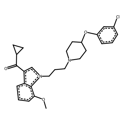 COc1cccc2c(C(=O)C3CC3)cn(CCCN3CCC(Oc4cccc(Cl)c4)CC3)c12